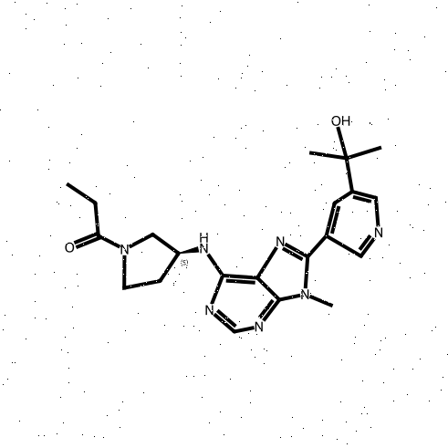 CCC(=O)N1CC[C@H](Nc2ncnc3c2nc(-c2cncc(C(C)(C)O)c2)n3C)C1